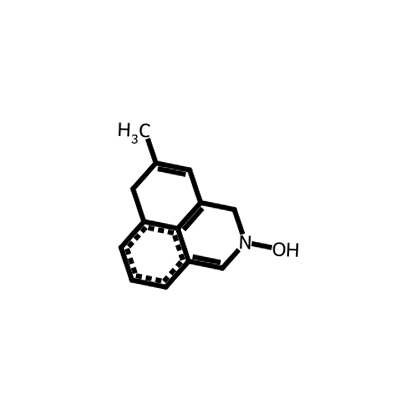 CC1=CC2=c3c(cccc3=CN(O)C2)C1